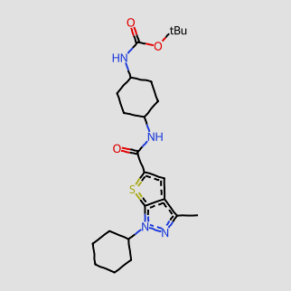 Cc1nn(C2CCCCC2)c2sc(C(=O)NC3CCC(NC(=O)OC(C)(C)C)CC3)cc12